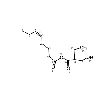 CC/C=C\CCCC(=O)OC(=O)C(CO)CO